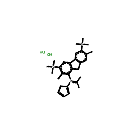 C[C](C)=[Zr]([C]1=CC=CC1)[c]1c(C)c([Si](C)(C)C)cc2c1Cc1cc(C)c([Si](C)(C)C)cc1-2.Cl.Cl